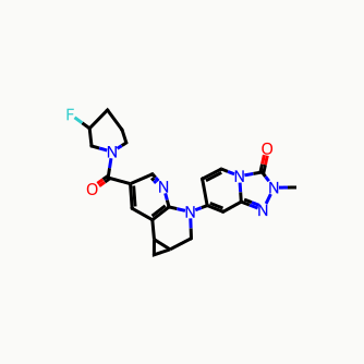 Cn1nc2cc(N3CC4CC4c4cc(C(=O)N5CCCC(F)C5)cnc43)ccn2c1=O